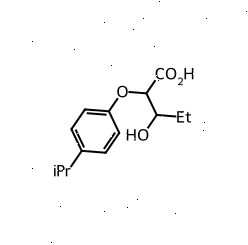 CCC(O)C(Oc1ccc(C(C)C)cc1)C(=O)O